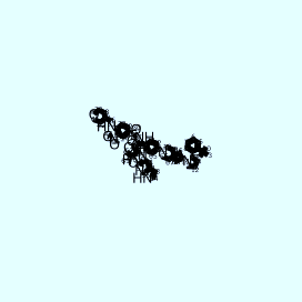 CC(C)(C)c1ccccc1[C@@H]1CCCN1C1CC2(CCN(c3ccc(C(=O)NS(=O)(=O)c4ccc(NCC5CCOCC5)c([N+](=O)[O-])c4)c(N4c5cc6cc[nH]c6nc5O[C@@H]5COC[C@H]54)c3)CC2)C1